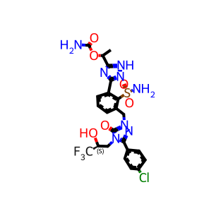 CC(OC(N)=O)c1nc(-c2cccc(Cn3nc(-c4ccc(Cl)cc4)n(C[C@H](O)C(F)(F)F)c3=O)c2S(N)(=O)=O)n[nH]1